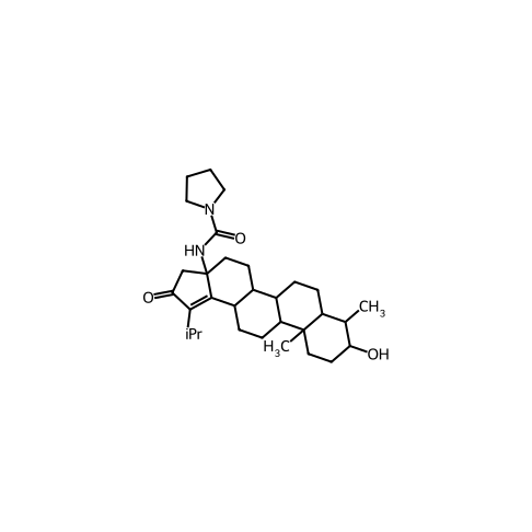 CC(C)C1=C2C3CCC4C(CCC5C(C)C(O)CCC54C)C3CCC2(NC(=O)N2CCCC2)CC1=O